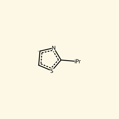 CC(C)c1n[c]cs1